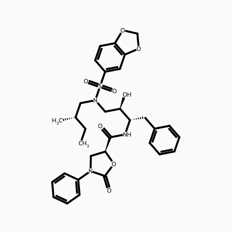 CC[C@H](C)CN(C[C@@H](O)[C@H](Cc1ccccc1)NC(=O)[C@@H]1CN(c2ccccc2)C(=O)O1)S(=O)(=O)c1ccc2c(c1)OCO2